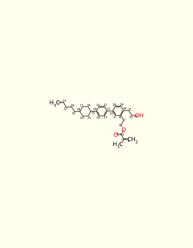 C=C(C)C(=O)OCCc1cc(-c2ccc(C3CCC(CCCCC)CC3)cc2)ccc1CCO